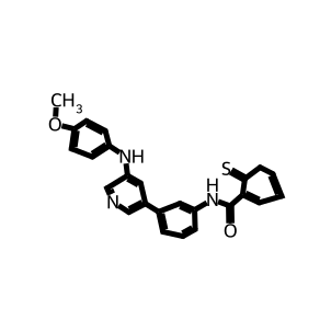 COc1ccc(Nc2cncc(-c3cccc(NC(=O)C4=CC=CCC4=S)c3)c2)cc1